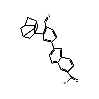 O=Cc1ccc(-c2ccc3cc(C(=O)O)ccc3c2)cc1C12CC3CC(CC(C3)C1)C2